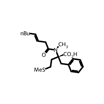 CCCC/C=C/CC(=O)N(C)[C@@](CCSC)(Cc1ccccc1)C(=O)O